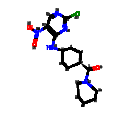 O=C([C@H]1CC[C@H](Nc2nc(Cl)ncc2[N+](=O)[O-])CC1)N1CCCCC1